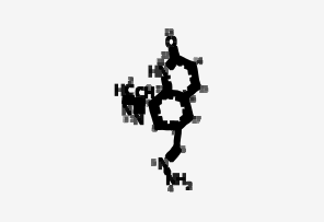 C#N.C#N.NN=Cc1ccc2[nH]c(=O)ccc2c1